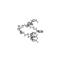 CCO[Si](C)(CCCCN=C=O)OCC.CO[Si](C)(CCCCN=C=O)OC